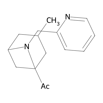 CC(=O)C12CC(C)CC(C1)N2Cc1ccccn1